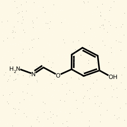 NN=COc1cccc(O)c1